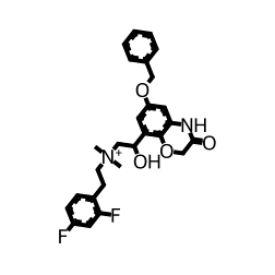 C[N+](C)(CCc1ccc(F)cc1F)CC(O)c1cc(OCc2ccccc2)cc2c1OCC(=O)N2